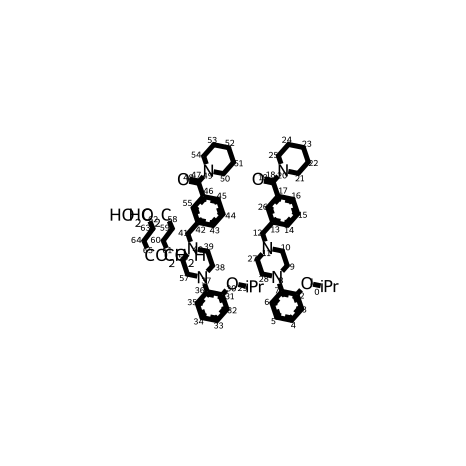 CC(C)Oc1ccccc1N1CCN(Cc2cccc(C(=O)N3CCCCC3)c2)CC1.CC(C)Oc1ccccc1N1CCN(Cc2cccc(C(=O)N3CCCCC3)c2)CC1.O=C(O)CCC(=O)O.O=C(O)CCC(=O)O